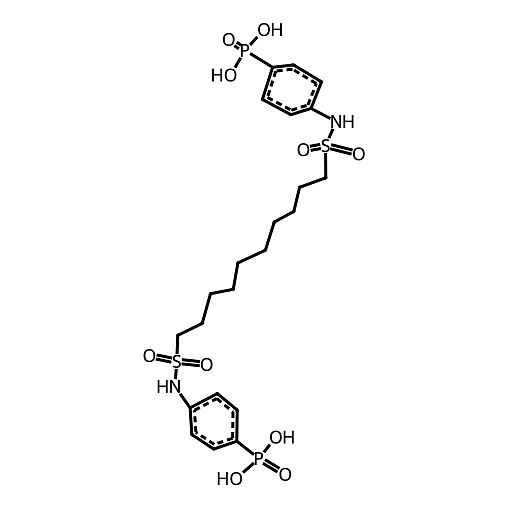 O=P(O)(O)c1ccc(NS(=O)(=O)CCCCCCCCCCS(=O)(=O)Nc2ccc(P(=O)(O)O)cc2)cc1